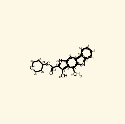 CC1=c2c(cc3c(c2C)N=c2ccccc2=3)N=C1C(=O)OC1CCOCC1